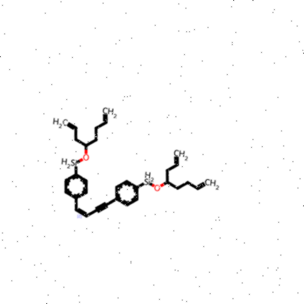 C=CCCC(CC=C)O[SiH2]c1ccc(C#C/C=C\c2ccc([SiH2]OC(CC=C)CCC=C)cc2)cc1